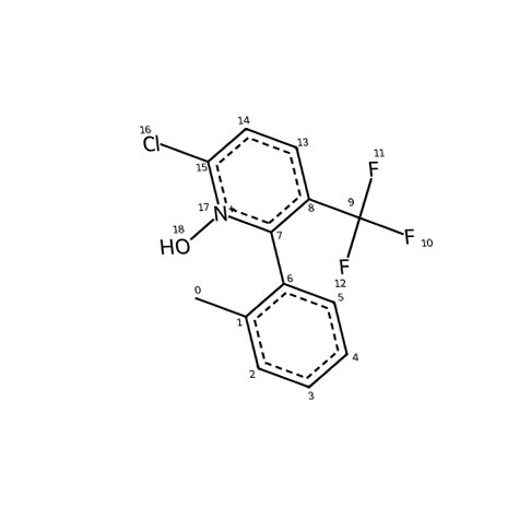 Cc1ccccc1-c1c(C(F)(F)F)ccc(Cl)[n+]1O